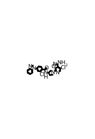 Nc1noc2c(N3CCC(NC(=O)c4ccc(-n5cnc6ccccc65)cc4Cl)C3)ncc(Cl)c12